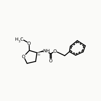 COC1OCC[C@@H]1NC(=O)OCc1ccccc1